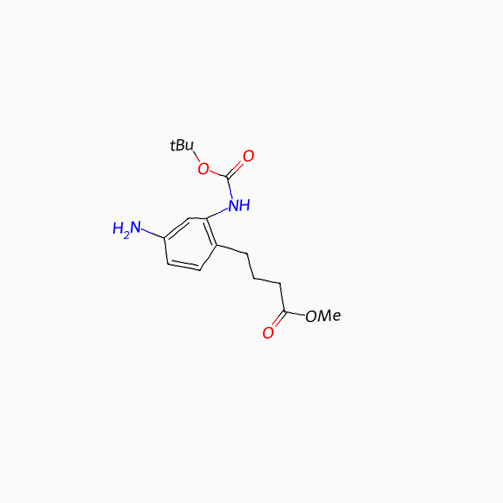 COC(=O)CCCc1ccc(N)cc1NC(=O)OC(C)(C)C